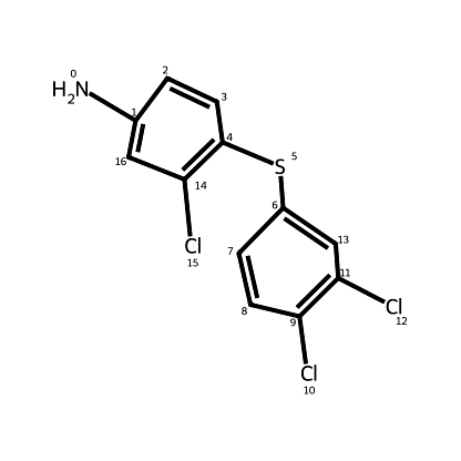 Nc1ccc(Sc2ccc(Cl)c(Cl)c2)c(Cl)c1